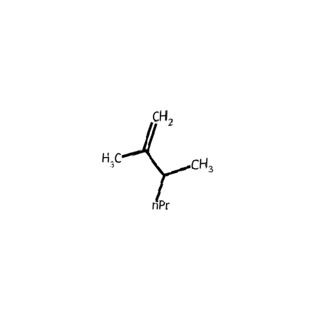 C=C(C)C(C)CCC